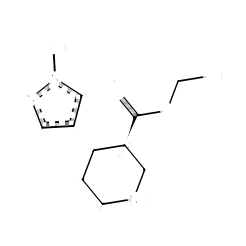 CCOC(=O)[C@H]1CNCC[C@@H]1c1cnn(C)c1